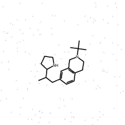 CC(Cc1ccc2c(c1)CN(C(C)(C)C)CC2)C1CCCN1